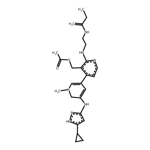 C=C(CC)NCCNc1nccc(C2=CN(C)CC(Nc3cc(C4CC4)[nH]n3)=C2)c1COC(C)=O